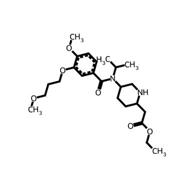 CCOC(=O)CC1CCC(N(C(=O)c2ccc(OC)c(OCCCOC)c2)C(C)C)CN1